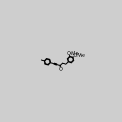 COc1ccc(CCC(=O)C#Cc2ccc(C)cc2)cc1OC